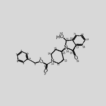 O=C(OCc1ccccc1)N1CCC(N2C(=O)c3ccccc3C2O)CC1